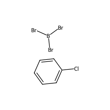 BrB(Br)Br.Clc1ccccc1